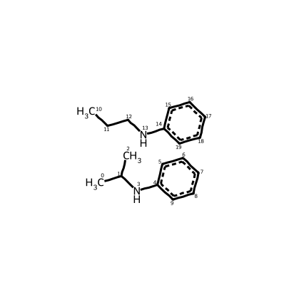 CC(C)Nc1ccccc1.CCCNc1ccccc1